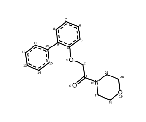 O=C(COc1ccccc1-c1ccccc1)N1CCOCC1